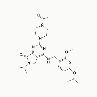 COc1cc(OC(C)C)ccc1CNc1nc(N2CCN(C(C)=O)CC2)nc2c1CN(C(C)C)C2=O